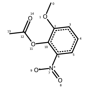 COc1cccc([N+](=O)[O-])c1OC(C)=O